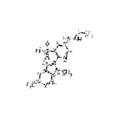 CCS(=O)(=O)c1cc(NNCC(F)(F)F)cnc1-c1nc2cc(C(F)(F)F)cnc2n1C